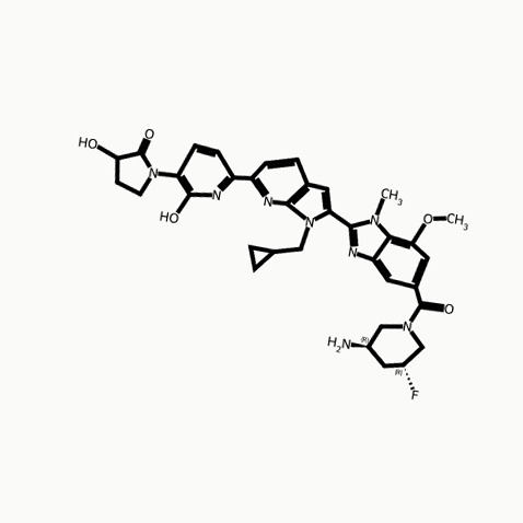 COc1cc(C(=O)N2C[C@H](N)C[C@@H](F)C2)cc2nc(-c3cc4ccc(-c5ccc(N6CCC(O)C6=O)c(O)n5)nc4n3CC3CC3)n(C)c12